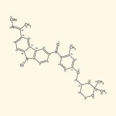 CCn1c2ccc(C(=O)c3ccc(OCC4CCOC(C)(C)O4)cc3C)cc2c2cc(C(C)=NOC(C)=O)ccc21